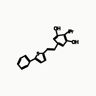 CC(C)c1c(O)cc(C=Cc2ccc(-c3ccccc3)s2)cc1O